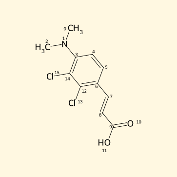 CN(C)c1ccc(C=CC(=O)O)c(Cl)c1Cl